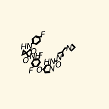 O=C(Nc1cc(Oc2cc(F)c(NC(=O)C3(C(=O)Nc4ccc(F)cc4)CC3)cc2F)ccn1)N1CC(CN2CCC2)C1